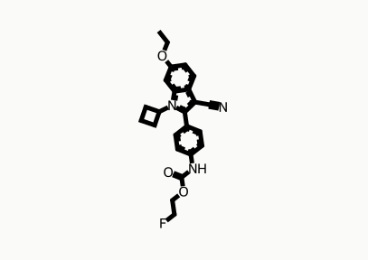 CCOc1ccc2c(C#N)c(-c3ccc(NC(=O)OCCF)cc3)n(C3CCC3)c2c1